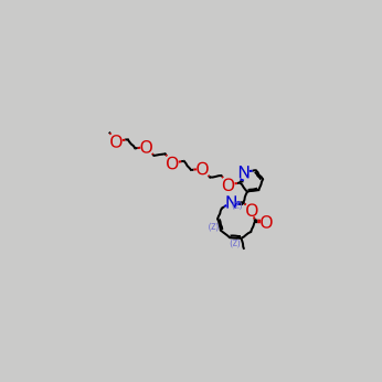 COCCOCCOCCOCCOc1ncccc1/C1=N/C/C=C\C=C(\C)CC(=O)O1